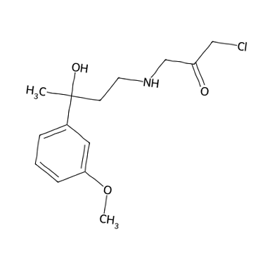 COc1cccc(C(C)(O)CCNCC(=O)CCl)c1